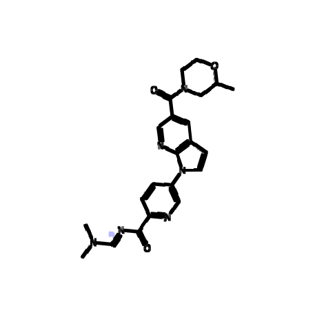 CC1CN(C(=O)c2cnc3c(ccn3-c3ccc(C(=O)/N=C/N(C)C)nc3)c2)CCO1